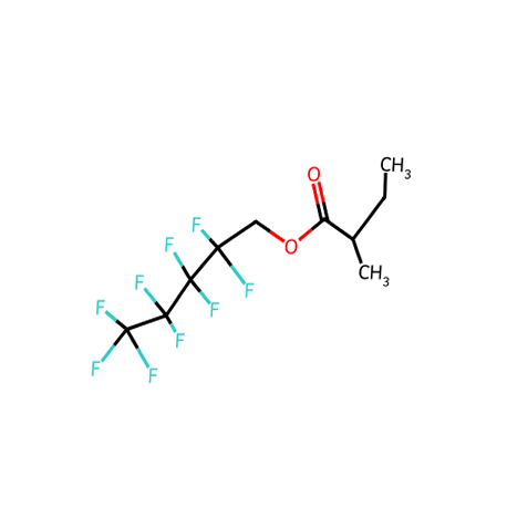 CCC(C)C(=O)OCC(F)(F)C(F)(F)C(F)(F)C(F)(F)F